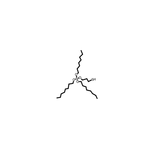 CCCCCCCCO[Si](OCCCS)(OCCCCCCCC)OCCCCCCCC